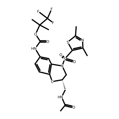 CC(=O)NC[C@H]1CN(S(=O)(=O)c2sc(C)nc2C)c2cc(NC(=O)OC(C)(C)C(F)(F)F)ccc2O1